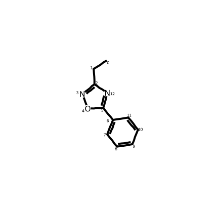 CCc1noc(-c2ccccc2)n1